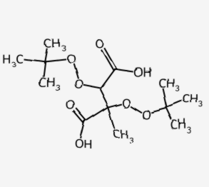 CC(C)(C)OOC(C(=O)O)C(C)(OOC(C)(C)C)C(=O)O